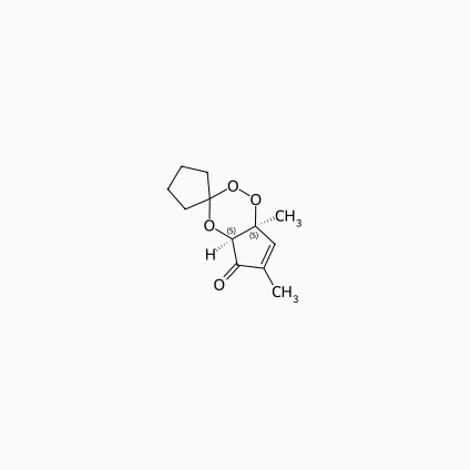 CC1=C[C@]2(C)OOC3(CCCC3)O[C@@H]2C1=O